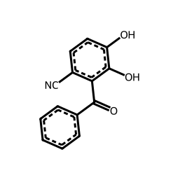 N#Cc1ccc(O)c(O)c1C(=O)c1ccccc1